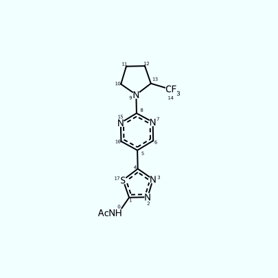 CC(=O)Nc1nnc(-c2cnc(N3CCCC3C(F)(F)F)nc2)s1